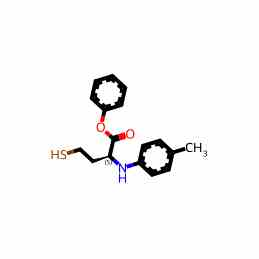 Cc1ccc(N[C@@H](CCS)C(=O)Oc2ccccc2)cc1